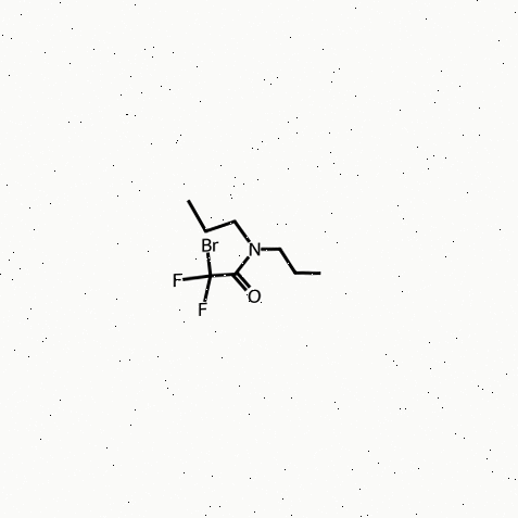 CCCN(CCC)C(=O)C(F)(F)Br